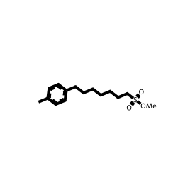 COS(=O)(=O)CCCCCCCc1ccc(C)cc1